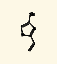 C=Cc1nc(C(C)(C)C)cs1